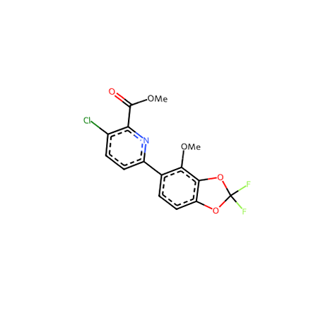 COC(=O)c1nc(-c2ccc3c(c2OC)OC(F)(F)O3)ccc1Cl